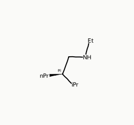 CCC[C@@H](CNCC)C(C)C